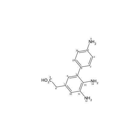 Nc1ccc(-c2cc(CC(=O)O)cc(N)c2N)cc1